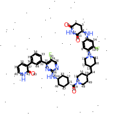 O=C1CCC(Nc2ccc(N3CCC(CC4CCN(C(=O)[C@H]5CC[C@H](Nc6ncc(F)c(-c7cccc(-c8ccc[nH]c8=O)c7)n6)CC5)CC4)CC3)c(F)c2)C(=O)N1